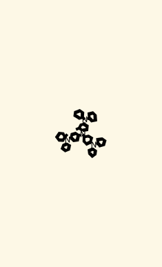 CC1CC(N(c2ccccc2)c2ccccc2)=CC=C1N(c1ccc(N(c2ccccc2)C2(C)C=CC=CC2)cc1)C1CC=C(N(c2ccccc2)c2ccccc2)CC1